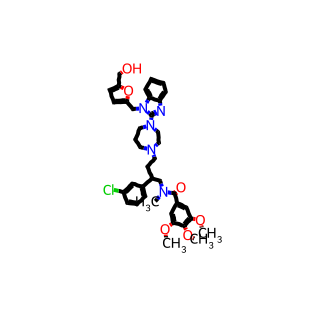 COc1cc(C(=O)N(C)CC(CCN2CCCN(c3nc4ccccc4n3Cc3ccc(CO)o3)CC2)c2cccc(Cl)c2)cc(OC)c1OC